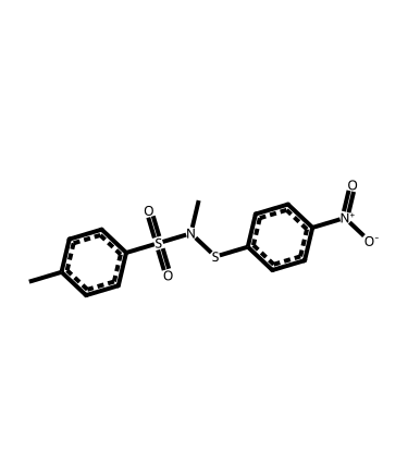 Cc1ccc(S(=O)(=O)N(C)Sc2ccc([N+](=O)[O-])cc2)cc1